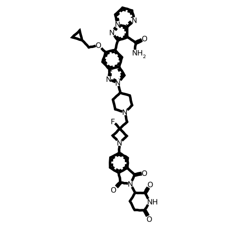 NC(=O)c1c(-c2cc3cn(C4CCN(CC5(F)CN(c6ccc7c(c6)C(=O)N(C6CCC(=O)NC6=O)C7=O)C5)CC4)nc3cc2OCC2CC2)nn2cccnc12